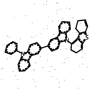 C1=Cc2sc3c(c2CC1)=C(n1c2ccccc2c2cc(-c4ccc5c(c4)c4ccccc4n5-c4ccccc4)ccc21)CCC=3